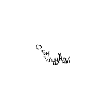 CN(CC12CC(CN(c3nccc(Nc4cc(C5CC5)[nH]n4)n3)C1)C2)C(=O)OCc1ccccc1